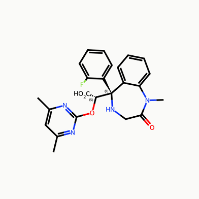 Cc1cc(C)nc(O[C@H](C(=O)O)[C@@]2(c3ccccc3F)NCC(=O)N(C)c3ccccc32)n1